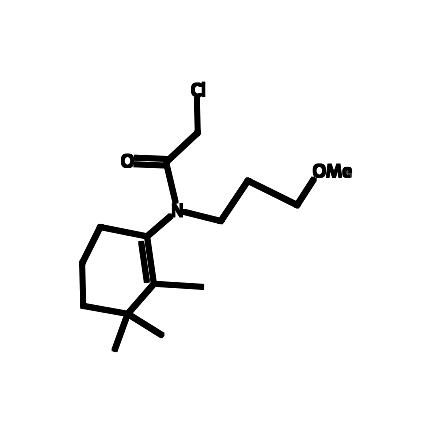 COCCCN(C(=O)CCl)C1=C(C)C(C)(C)CCC1